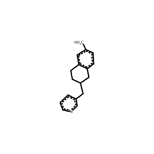 O=C(O)c1ccc2c(c1)CCC(Cc1cccnc1)C2